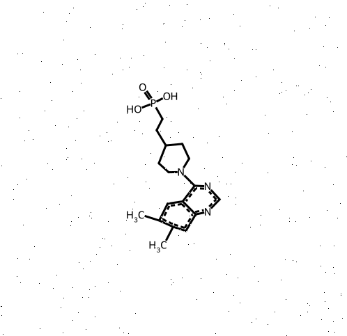 Cc1cc2ncnc(N3CCC(CCP(=O)(O)O)CC3)c2cc1C